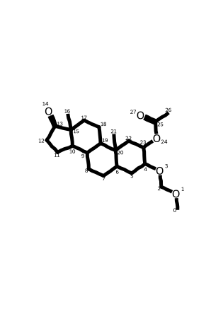 COCOC1CC2CCC3C4CCC(=O)C4(C)CCC3C2(C)CC1OC(C)=O